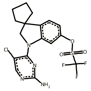 Nc1ncc(Cl)c(N2CC3(CCCC3)c3ccc(OS(=O)(=O)C(F)(F)F)cc32)n1